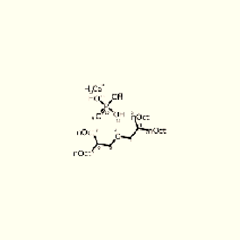 CCCCCCCCC(CCCCCCCC)COCC(CCCCCCCC)CCCCCCCC.O=P(O)(O)O.[CaH2]